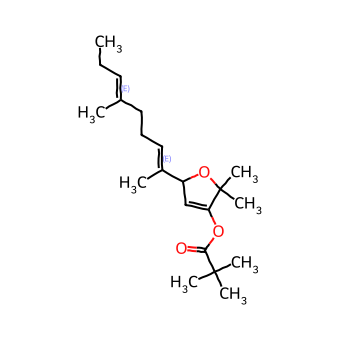 CC/C=C(\C)CC/C=C(\C)C1C=C(OC(=O)C(C)(C)C)C(C)(C)O1